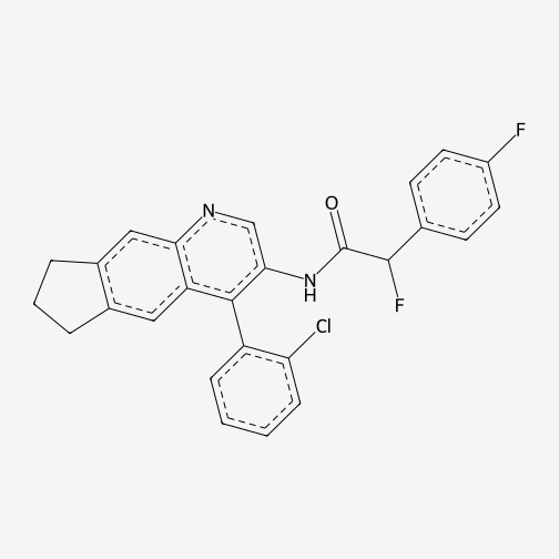 O=C(Nc1cnc2cc3c(cc2c1-c1ccccc1Cl)CCC3)C(F)c1ccc(F)cc1